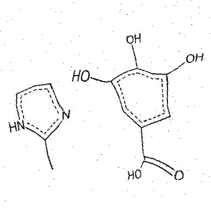 Cc1ncc[nH]1.O=C(O)c1cc(O)c(O)c(O)c1